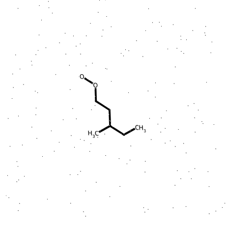 CCC(C)CCO[O]